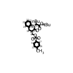 CCCC[C@H](NC(=O)[C@@H](COS(=O)(=O)c1ccc(C)cc1)Cc1ccccc1)C(=O)OC(C)(C)C